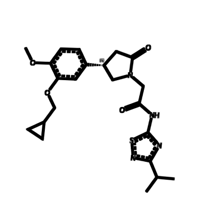 COc1ccc([C@@H]2CC(=O)N(CC(=O)Nc3nc(C(C)C)ns3)C2)cc1OCC1CC1